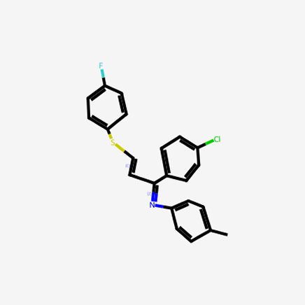 Cc1ccc(/N=C(/C=C/Sc2ccc(F)cc2)c2ccc(Cl)cc2)cc1